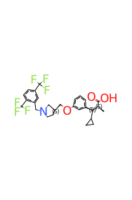 C[C@H](C(=O)O)[C@H](c1cccc(OC[C@H]2CCN(Cc3cc(C(F)(F)F)ccc3C(F)(F)F)C2)c1)C1CC1